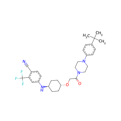 CC(C)(C)c1ccc(N2CCN(C(=O)CO[C@H]3CC[C@H](Nc4ccc(C#N)c(C(F)(F)F)c4)CC3)CC2)cc1